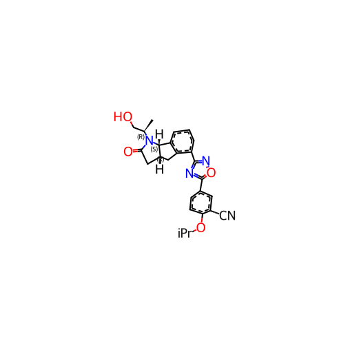 CC(C)Oc1ccc(-c2nc(-c3cccc4c3C[C@@H]3CC(=O)N([C@H](C)CO)[C@H]43)no2)cc1C#N